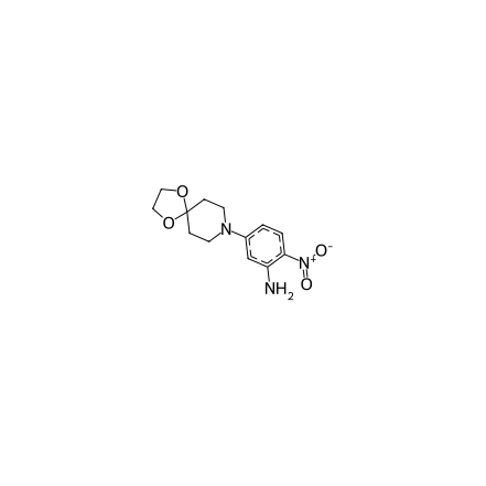 Nc1cc(N2CCC3(CC2)OCCO3)ccc1[N+](=O)[O-]